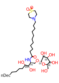 CCCCCCCCCCCCCC[C@@H](O)[C@@H](O)[C@H](CO[C@H]1O[C@H](CO)[C@H](O)[C@H](O)[C@H]1O)NC(=O)CCCCCCCCCCN1CCS(=O)(=O)CC1